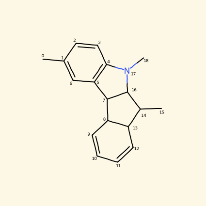 Cc1ccc2c(c1)C1C3C=CC=CC3C(C)C1N2C